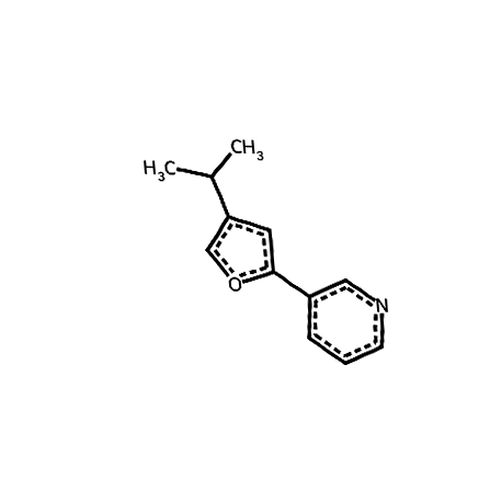 CC(C)c1coc(-c2cccnc2)c1